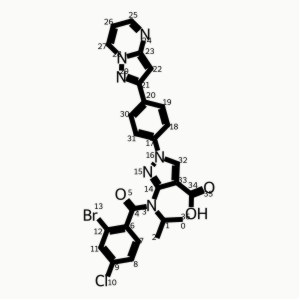 CC(C)N(C(=O)c1ccc(Cl)cc1Br)c1nn(-c2ccc(-c3cc4ncccn4n3)cc2)cc1C(=O)O